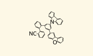 N#Cc1ccccc1-c1ccccc1-c1cc(-c2ccc3oc4ccccc4c3c2)cc(-n2c3ccccc3c3ccccc32)c1